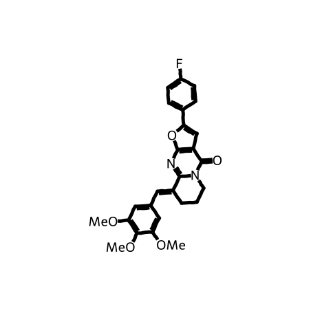 COc1cc(/C=C2\CCCn3c2nc2oc(-c4ccc(F)cc4)cc2c3=O)cc(OC)c1OC